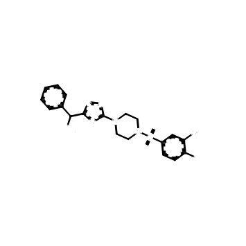 CC(c1ccccc1)c1nsc(N2CCN(S(=O)(=O)c3ccc(Cl)c([N+](=O)[O-])c3)CC2)n1